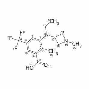 CCN(c1cc(C(F)(F)F)cc(C(=O)O)c1C)C1CN(C)C1